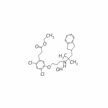 CCOC(=O)CCc1cc(OC[C@@H](O)CNC(C)(C)CC2Cc3ccccc3C2)c(Cl)cc1Cl